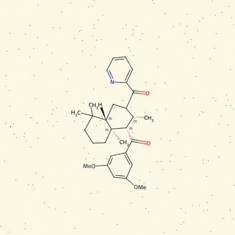 COc1cc(OC)cc(C(=O)[C@H]2[C@@H](C)C(C(=O)c3ccccn3)C[C@H]3C(C)(C)CCC[C@]23C)c1